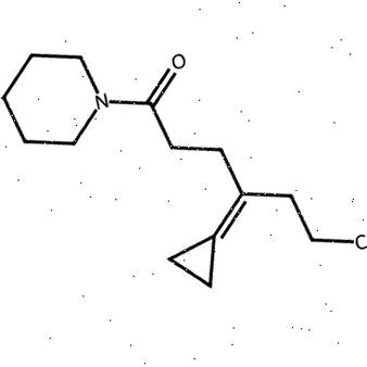 CCCC(CCC(=O)N1CCCCC1)=C1CC1